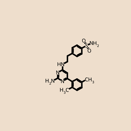 Cc1ccc(C)c(-c2cc(NCCc3ccc(S(N)(=O)=O)cc3)nc(N)n2)c1